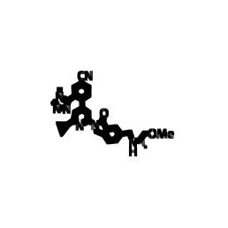 COC[C@H](C)NCc1ccc2c(c1)C(=O)N(c1cc(-c3ccc(C#N)cc3-c3nncn3C)cc(C3CC3)n1)C2